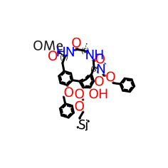 COC(=O)[C@@H]1Cc2ccc(OCc3ccccc3)c(c2)-c2cc(cc(O)c2OCOCC[Si](C)(C)C)[C@H](N(C)C(=O)OCc2ccccc2)C(=O)N[C@@H](C)C(=O)N1